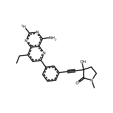 [2H]c1nc(N)c2nc(-c3cccc(C#CC4(O)CCN(C)C4=O)c3)cc(CC)c2n1